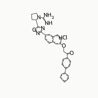 Cl.N=C(N)N1CCCC1c1nc(-c2ccc3cc(OCC(=O)c4ccc(-c5ccccc5)cc4)ccc3c2)no1